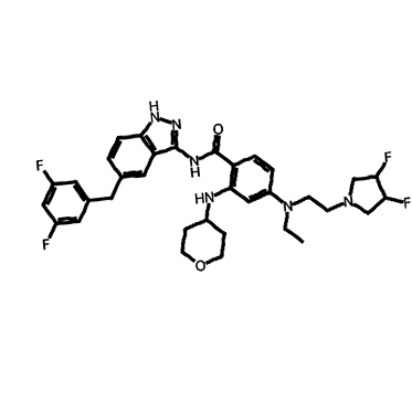 CCN(CCN1CC(F)C(F)C1)c1ccc(C(=O)Nc2n[nH]c3ccc(Cc4cc(F)cc(F)c4)cc23)c(NC2CCOCC2)c1